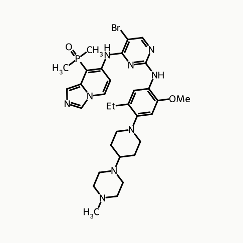 CCc1cc(Nc2ncc(Br)c(Nc3ccn4cncc4c3P(C)(C)=O)n2)c(OC)cc1N1CCC(N2CCN(C)CC2)CC1